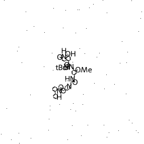 COc1cc(CNC(=O)CCN2CCC(OC(=O)Nc3ccccc3-c3ccccc3)CC2)ccc1CNC[C@H](O[Si](C)(C)C(C)(C)C)c1ccc(O)c2[nH]c(=O)ccc12